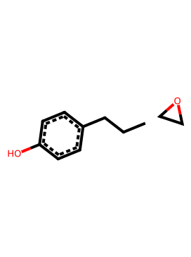 C1CO1.CCCc1ccc(O)cc1